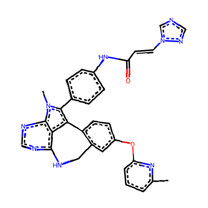 Cc1cccc(Oc2ccc3c(c2)CNc2ncnc4c2c-3c(-c2ccc(NC(=O)/C=C/n3cncn3)cc2)n4C)n1